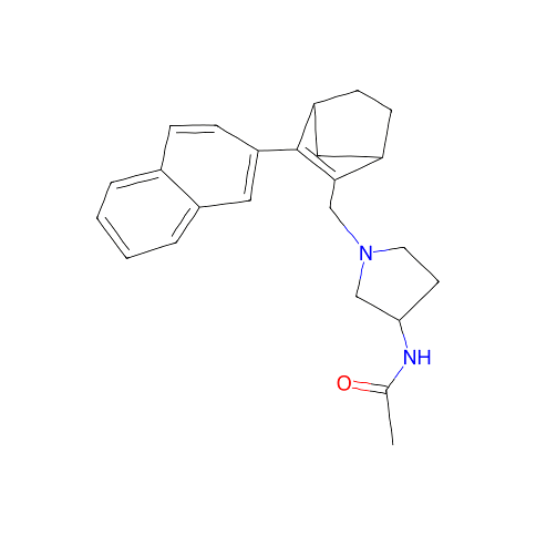 CC(=O)NC1CCN(CC2=C(c3ccc4ccccc4c3)C3CCC2C3)C1